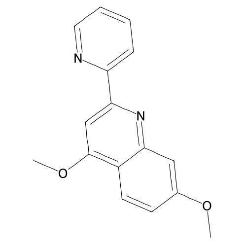 COc1ccc2c(OC)cc(-c3ccccn3)nc2c1